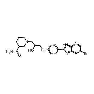 NC(=O)C1CCCN(CC(O)COc2ccc(-c3nc4cc(Br)cnc4[nH]3)cc2)C1